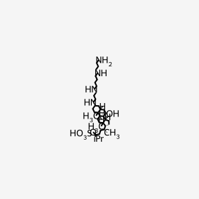 CC(C)C(CC[C@@H](C)[C@H]1CC[C@H]2[C@@H]3[C@H](O)C[C@H]4C[C@@H](NCCCNCCCCNCCCN)CCC4(C)[C@H]3CCC12C)OS(=O)(=O)O